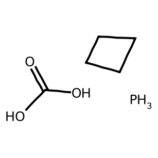 C1CCC1.O=C(O)O.P